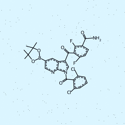 CC1(C)OB(c2cnc3c(c2)c(C(=O)c2c(F)ccc(C(N)=O)c2F)cn3C(=O)c2c(Cl)cccc2Cl)OC1(C)C